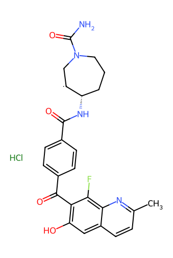 Cc1ccc2cc(O)c(C(=O)c3ccc(C(=O)N[C@@H]4[CH]CN(C(N)=O)CCC4)cc3)c(F)c2n1.Cl